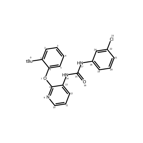 CC(C)(C)c1ccccc1Oc1ncccc1NC(=O)Nc1cccc(Cl)c1